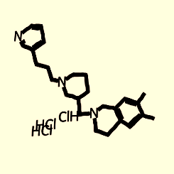 Cc1cc2c(cc1C)CN(CC1CCCN(CCCc3cccnc3)C1)CC2.Cl.Cl.Cl